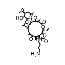 C=C1C(=O)[C@H](C)C[C@@](C)(OC)[C@H](O[C@@H]2O[C@H](C)CC(N(C)C)C2O)[C@@H](C)C(=O)[C@@H](C)C(=O)O[C@H](CC)[C@@]2(C)OC(=O)N(CCCCN)[C@H]12